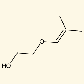 CC(C)=COCCO